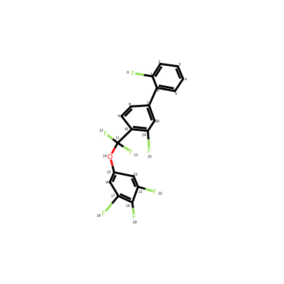 Fc1ccccc1-c1ccc(C(F)(F)Oc2cc(F)c(F)c(F)c2)c(F)c1